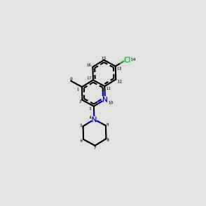 Cc1cc(N2CCCCC2)nc2cc(Cl)ccc12